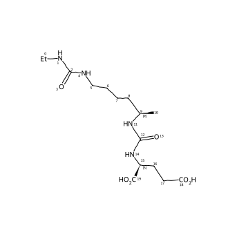 CCNC(=O)NCCCC[C@@H](C)NC(=O)N[C@@H](CCC(=O)O)C(=O)O